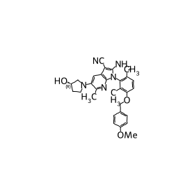 COc1ccc(COc2ccc(C)c(-n3c(N)c(C#N)c4cc(N5CC[C@@H](O)C5)c(C)nc43)c2C)cc1